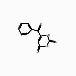 O=C(c1ccccc1)c1cc(=O)[nH]c(=O)[nH]1